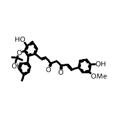 COc1cc(/C=C/C(=O)CC(=O)/C=C/c2ccc(O)c(OC(C)(C)O)c2-c2ccc(C)cc2)ccc1O